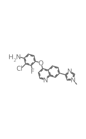 Cn1cnc(-c2ccc3c(Oc4ccc(N)c(Cl)c4F)ccnc3c2)c1